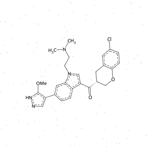 COc1[nH]ncc1-c1ccc2c(C(=O)[C@H]3COc4ccc(Cl)cc4C3)cn(CCN(C)C)c2c1